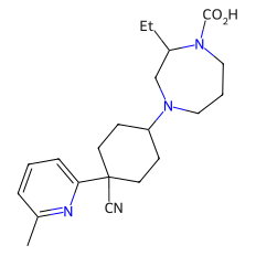 CCC1CN(C2CCC(C#N)(c3cccc(C)n3)CC2)CCCN1C(=O)O